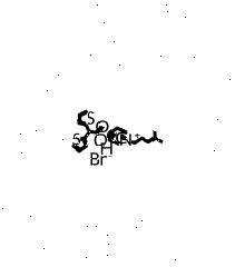 CC(C)=CCC[N+]12CCC(CC1)[C@@H](OC(=O)C(c1cccs1)c1cccs1)C2.[Br-]